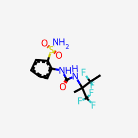 CC(F)(F)C(C)(NC(=O)Nc1ccccc1S(N)(=O)=O)C(F)(F)F